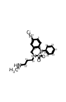 [C-]#[N+]c1ccc2c(c1)CN(CCCNC)S(=O)(=O)N2c1ccccc1